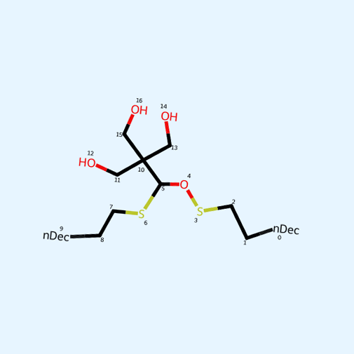 CCCCCCCCCCCCSOC(SCCCCCCCCCCCC)C(CO)(CO)CO